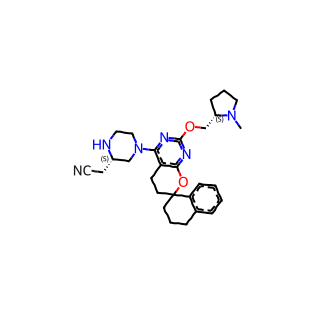 CN1CCC[C@H]1COc1nc2c(c(N3CCN[C@@H](CC#N)C3)n1)CCC1(CCCc3ccccc31)O2